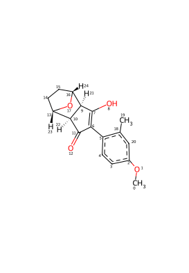 COc1ccc(C2=C(O)[C@H]3[C@@H](C2=O)[C@@H]2CC[C@H]3O2)c(C)c1